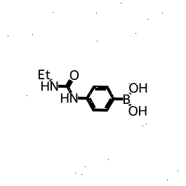 CCNC(=O)Nc1ccc(B(O)O)cc1